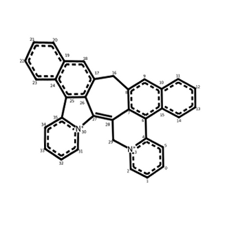 c1cc[n+]2c(c1)-c1c3c(cc4ccccc14)Cc1cc4ccccc4c4c1C(=C3C2)[n+]1ccccc1-4